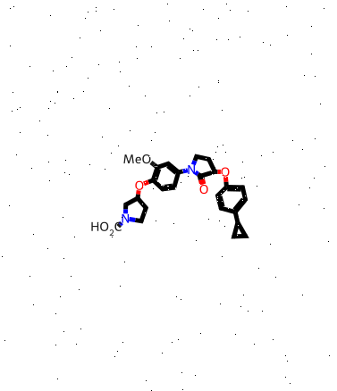 COc1cc(N2CCC(Oc3ccc(C4CC4)cc3)C2=O)ccc1OC1CCN(C(=O)O)C1